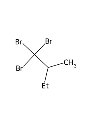 CCC(C)C(Br)(Br)Br